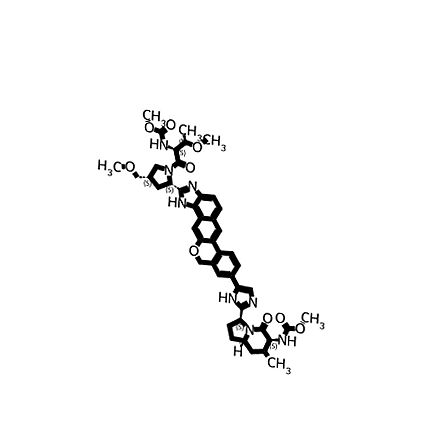 COC[C@H]1C[C@@H](c2nc3ccc4cc5c(cc4c3[nH]2)OCc2cc(-c3cnc([C@@H]4CC[C@@H]6CC(C)[C@H](NC(=O)OC)C(=O)N64)[nH]3)ccc2-5)N(C(=O)[C@@H](NC(=O)OC)[C@@H](C)OC)C1